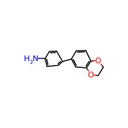 Nc1ccc(-c2ccc3c(c2)OCCO3)cc1